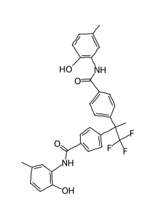 Cc1ccc(O)c(NC(=O)c2ccc(C(C)(c3ccc(C(=O)Nc4cc(C)ccc4O)cc3)C(F)(F)F)cc2)c1